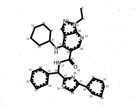 CCn1ncc2c(NC3CCCCC3)c(C(=O)NC(c3ccccc3)c3nc(-c4ccccc4)cs3)cnc21